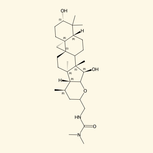 C[C@@H]1CC(CNC(=O)N(C)C)OC2[C@H]1[C@@]1(C)CC[C@@]34C[C@@]35CC[C@H](O)C(C)(C)[C@@H]5CCC4[C@]1(C)[C@H]2O